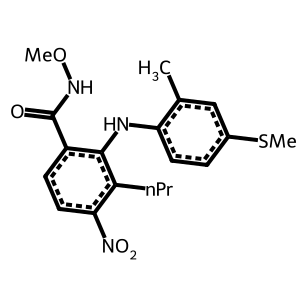 CCCc1c([N+](=O)[O-])ccc(C(=O)NOC)c1Nc1ccc(SC)cc1C